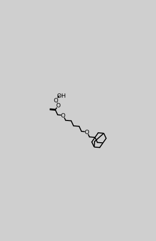 C=C(COCCCCCOCC12CC3CC(CC(C3)C1)C2)OOO